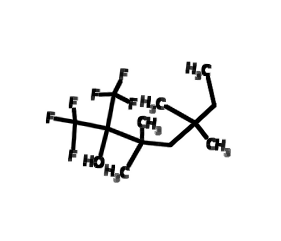 CCC(C)(C)CC(C)(C)C(O)(C(F)(F)F)C(F)(F)F